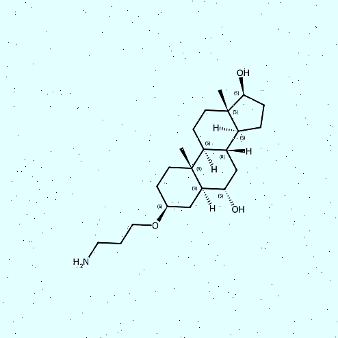 C[C@]12CC[C@H](OCCCN)C[C@@H]1[C@@H](O)C[C@@H]1[C@@H]2CC[C@]2(C)[C@@H](O)CC[C@@H]12